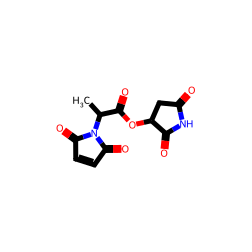 CC(C(=O)OC1CC(=O)NC1=O)N1C(=O)C=CC1=O